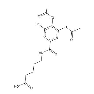 CC(=O)Oc1cc(C(=O)NCCCCC(=O)O)cc(Br)c1OC(C)=O